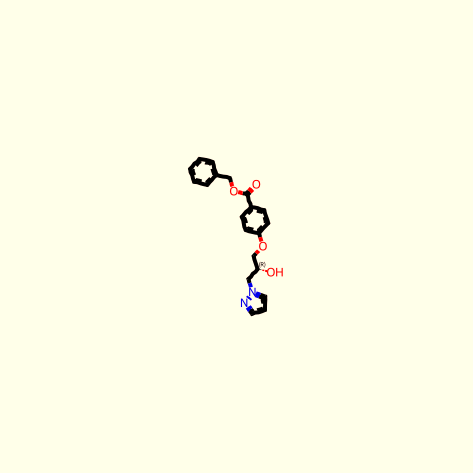 O=C(OCc1ccccc1)c1ccc(OC[C@H](O)Cn2cccn2)cc1